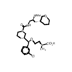 CN[C@H](CNC(=O)N1CCC[C@@H]([C@@H](OCCN(C)C(=O)O)c2cccc(Cl)c2)C1)C[C@H]1CCCOC1